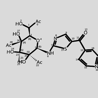 CC(=O)C(O)[C@H]1O[C@@H](Nc2ncc(C(=O)c3ccncc3)s2)[C@](O)(C(C)=O)[C@](O)(C(C)=O)[C@@]1(O)C(C)=O